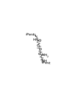 CCCC(C)C#CCNC(=O)CCOCCOCCOC(N)CCCNC(C)CCC